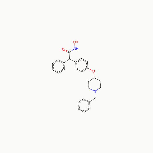 O=C(NO)C(c1ccccc1)c1ccc(OC2CCN(Cc3ccccc3)CC2)cc1